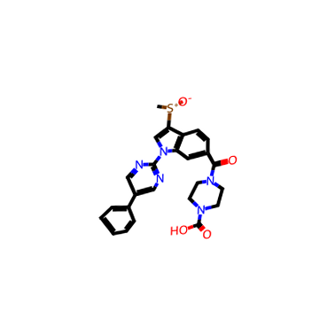 C[S+]([O-])c1cn(-c2ncc(-c3ccccc3)cn2)c2cc(C(=O)N3CCN(C(=O)O)CC3)ccc12